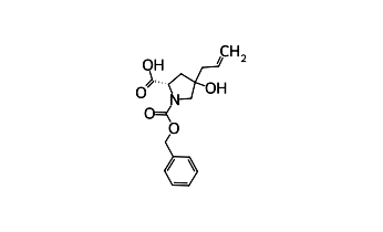 C=CCC1(O)C[C@@H](C(=O)O)N(C(=O)OCc2ccccc2)C1